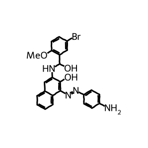 COc1ccc(Br)cc1C(O)Nc1cc2ccccc2c(N=Nc2ccc(N)cc2)c1O